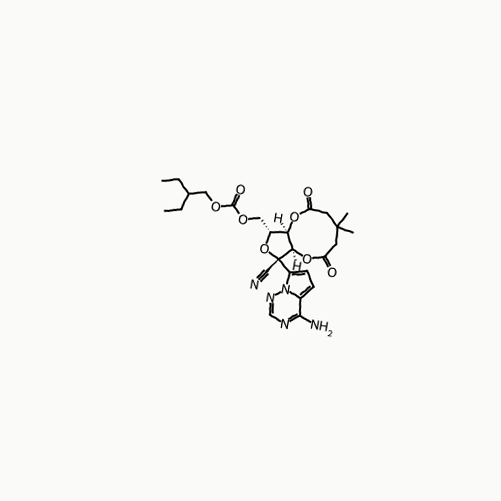 CCC(CC)COC(=O)OC[C@H]1O[C@@](C#N)(c2ccc3c(N)ncnn23)[C@@H]2OC(=O)CC(C)(C)CC(=O)O[C@@H]21